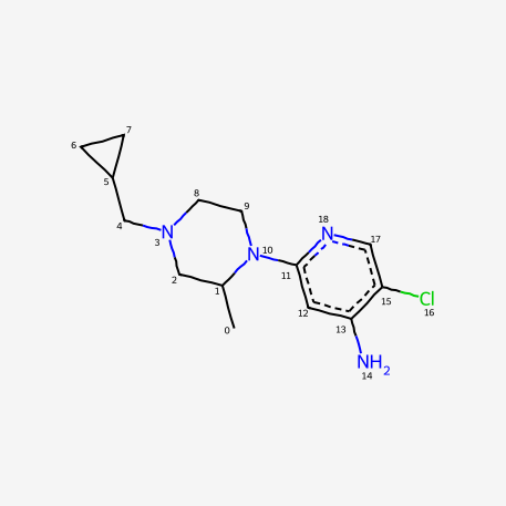 CC1CN(CC2CC2)CCN1c1cc(N)c(Cl)cn1